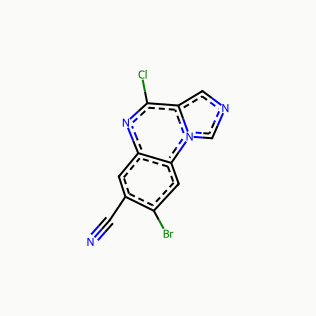 N#Cc1cc2nc(Cl)c3cncn3c2cc1Br